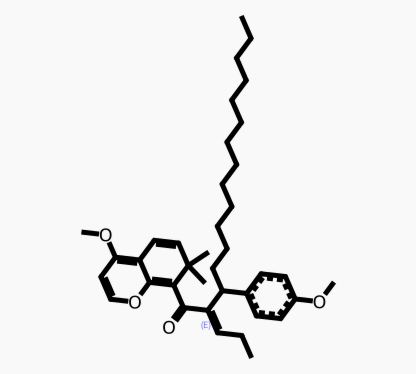 CC/C=C(/C(=O)C1=C2OC=CC(OC)=C2C=CC1(C)C)C(CCCCCCCCCCCCC)c1ccc(OC)cc1